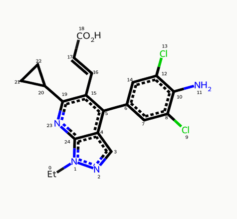 CCn1ncc2c(-c3cc(Cl)c(N)c(Cl)c3)c(C=CC(=O)O)c(C3CC3)nc21